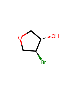 O[C@H]1COC[C@@H]1Br